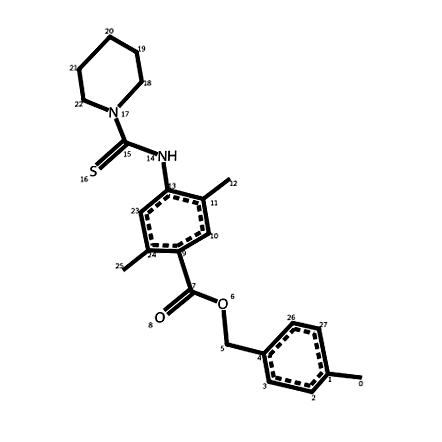 Cc1ccc(COC(=O)c2cc(C)c(NC(=S)N3CCCCC3)cc2C)cc1